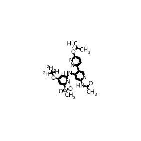 [2H]C([2H])([2H])Oc1cc(Nc2cc(NC(C)=O)ncc2-c2ccc(OC(C)C)nn2)nc(S(C)(=O)=O)c1